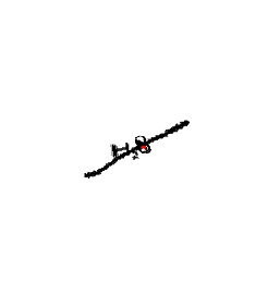 CCCCCCCCCCCCCCCCCCCCN(CCCCCCCCCCCCCCCCCCCC)C(C)=O.O.O